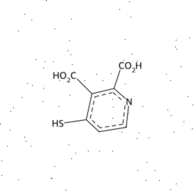 O=C(O)c1nccc(S)c1C(=O)O